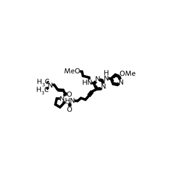 COCCCNc1nc(Nc2ccnc(OC)c2)ncc1C#CCCCNC(=O)[C@@H]1CCCN1C(=O)/C=C/CN(C)C